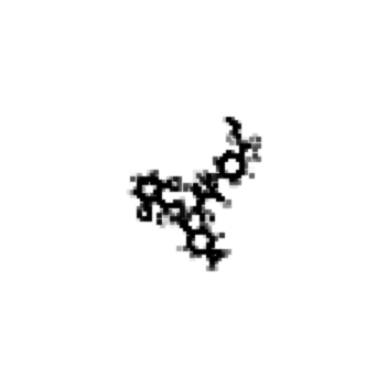 CCOC(=O)[C@]1(C)CC[C@@H](n2ncc(C(=O)N(CC3CCC4(CC3)CC4)CC(O)c3c(Cl)cccc3Cl)c2C)CC1